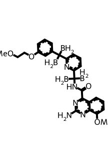 BC(B)(NC(=O)c1nc(N)nc2c(OC)cccc12)c1cccc(C(B)(B)c2cccc(OCCOC)c2)n1